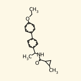 CCOc1ccc(-c2ccc(C(C)NC(=O)C3CC3C)cc2)cc1